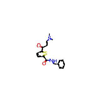 CN(C)C=CC(=O)c1ccc(C(=O)NCc2ccccc2)s1